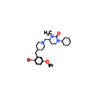 CC(C)Oc1ccc(Br)c(CC2CCN(CC3CCN(C4CCCCC4)C(=O)N3C)CC2)c1